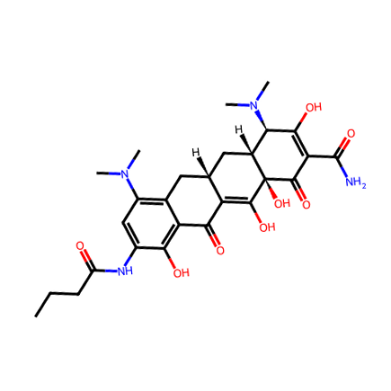 CCCC(=O)Nc1cc(N(C)C)c2c(c1O)C(=O)C1=C(O)[C@@]3(O)C(=O)C(C(N)=O)=C(O)[C@H](N(C)C)[C@H]3C[C@H]1C2